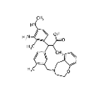 CNc1ccc(C(c2ccc(C)c(CN3CCOc4ccccc4C3)c2)C(C)C(=O)O)c(C)c1N